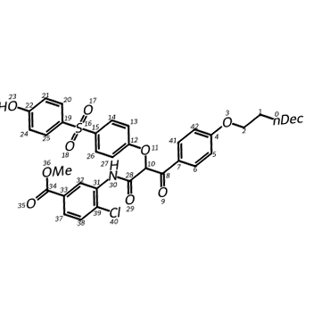 CCCCCCCCCCCCOc1ccc(C(=O)C(Oc2ccc(S(=O)(=O)c3ccc(O)cc3)cc2)C(=O)Nc2cc(C(=O)OC)ccc2Cl)cc1